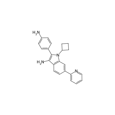 Nc1ccc(-c2c(N)c3ccc(-c4ccccn4)cc3n2C2CCC2)cc1